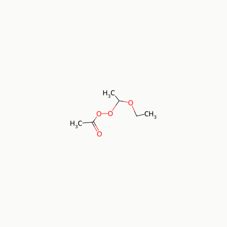 CCOC(C)OOC(C)=O